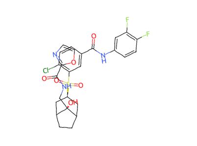 O=C(Nc1ccc(F)c(F)c1)c1ccc(Cl)c(S(=O)(=O)[C@H]2CC3CCC(C2)[C@]3(O)CNC(=O)c2ncco2)c1